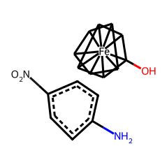 Nc1ccc([N+](=O)[O-])cc1.O[C]12[CH]3[CH]4[CH]5[CH]1[Fe]45321678[CH]2[CH]1[CH]6[CH]7[CH]28